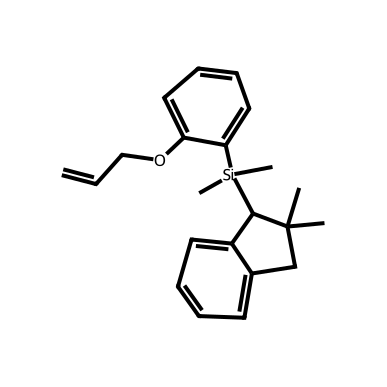 C=CCOc1ccccc1[Si](C)(C)C1c2ccccc2CC1(C)C